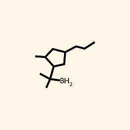 BC(C)(C)C1CC(CCC)CC1C